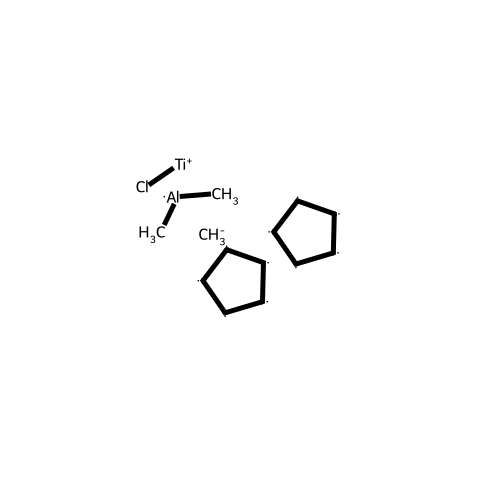 [CH3-].[CH3][Al][CH3].[CH]1[CH][CH][CH][CH]1.[CH]1[CH][CH][CH][CH]1.[Cl][Ti+]